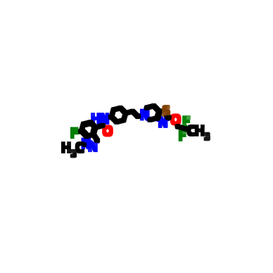 Cn1ncc2c(C(=O)NC3CCC(CCN4CCc5sc(OCC(C)(F)F)nc5C4)CC3)ccc(F)c21